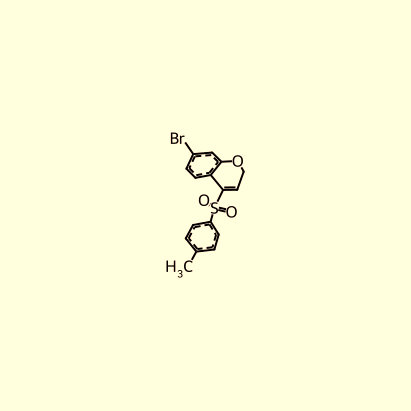 Cc1ccc(S(=O)(=O)C2=CCOc3cc(Br)ccc32)cc1